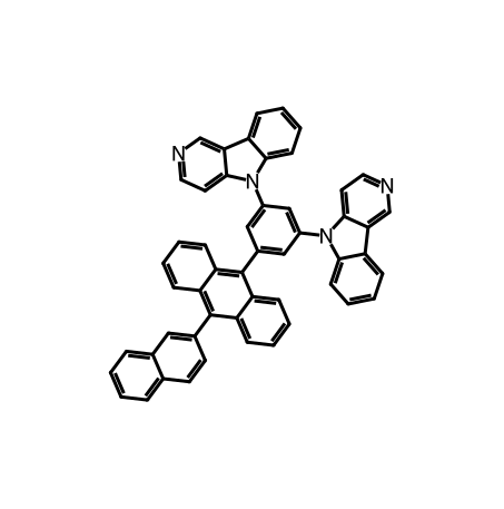 c1ccc2cc(-c3c4ccccc4c(-c4cc(-n5c6ccccc6c6cnccc65)cc(-n5c6ccccc6c6cnccc65)c4)c4ccccc34)ccc2c1